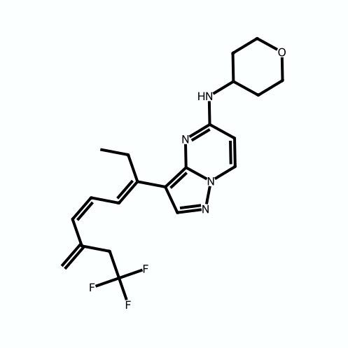 C=C(/C=C\C=C(/CC)c1cnn2ccc(NC3CCOCC3)nc12)CC(F)(F)F